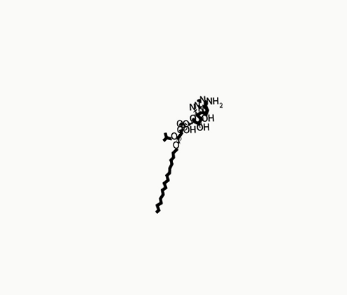 CCCCCCCCCCCCCCCCCCOC[C@H](COP(=O)(O)OC[C@H]1O[C@@](C#N)(c2ccc3c(N)ncnn23)[C@H](O)[C@@H]1O)OCC(C)C